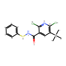 C[Si](C)(C)c1cc(C(=O)NSc2ccccc2)c(Cl)nc1Cl